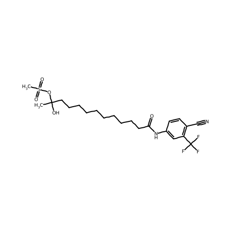 CC(O)(CCCCCCCCCCC(=O)Nc1ccc(C#N)c(C(F)(F)F)c1)OS(C)(=O)=O